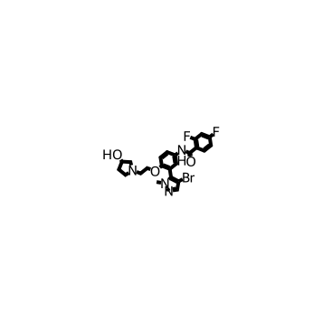 Cn1ncc(Br)c1-c1cc(NC(=O)c2ccc(F)cc2F)ccc1OCCN1CCC(O)C1